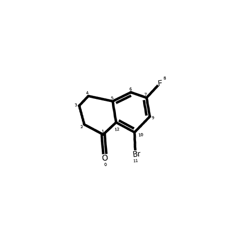 O=C1CCCc2cc(F)cc(Br)c21